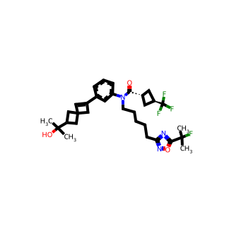 CC(C)(F)c1nc(CCCCCN(c2cccc(C3=CC4(C3)CC(C(C)(C)O)C4)c2)C(=O)[C@H]2C[C@H](C(F)(F)F)C2)no1